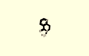 CN1CCc2ncccc2C1=O